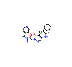 CC(NC(=O)Cn1ncc(NC2CC3CCCC(C3)C2)c(Cl)c1=O)c1ccncc1